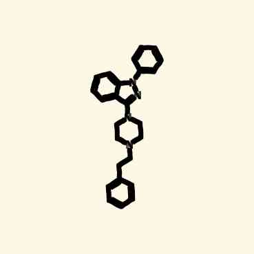 c1ccc(CCN2CCN(c3nn(-c4ccccc4)c4ccccc34)CC2)cc1